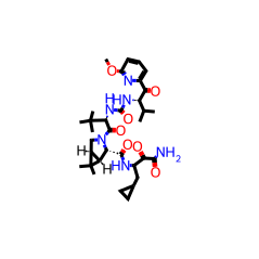 COc1cccc(C(=O)[C@@H](NC(=O)N[C@H](C(=O)N2C[C@H]3[C@@H]([C@H]2C(=O)NC(CC2CC2)C(=O)C(N)=O)C3(C)C)C(C)(C)C)C(C)C)n1